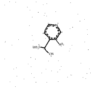 CCOC(=O)C(C#N)c1ccncc1[N+](=O)[O-]